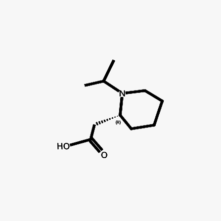 CC(C)N1CCCC[C@@H]1CC(=O)O